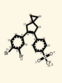 O=S(=O)(c1ccc(C2=C(c3ccc(Br)c(Br)c3)CC3(CC3)C2)cc1)C(F)(F)F